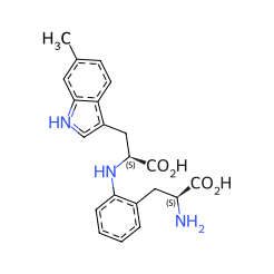 Cc1ccc2c(C[C@H](Nc3ccccc3C[C@H](N)C(=O)O)C(=O)O)c[nH]c2c1